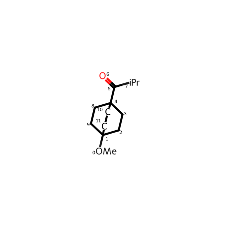 COC12CCC(C(=O)C(C)C)(CC1)CC2